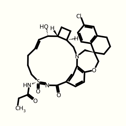 CCC(=O)N[S@@]1(=O)=NC(=O)c2ccc3c(c2)N(C[C@@H]2CC[C@H]2[C@@H](O)/C=C/CCC1)C[C@@]1(CCCc2cc(Cl)ccc21)CO3